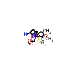 CO[C@H]1[C@H](C)C[C@@]2(Cc3ccc(C#N)cc3[C@]23NC(=S)N(CC2(C)OCCO2)C3=O)C[C@@H]1C